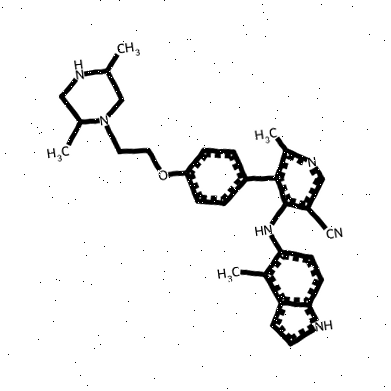 Cc1ncc(C#N)c(Nc2ccc3[nH]ccc3c2C)c1-c1ccc(OCCN2CC(C)NCC2C)cc1